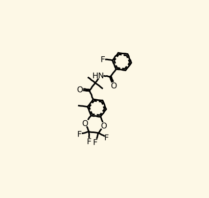 Cc1c(C(=O)C(C)(C)NC(=O)c2ccccc2F)ccc2c1OC(F)(F)C(F)(F)O2